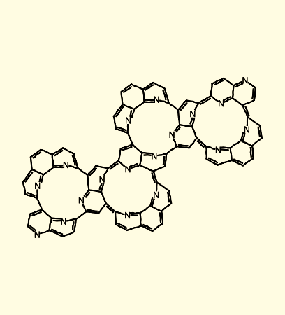 c1cc2c3ccc4ccc5ccc(nc5c4n3)c3cc4nc5c(cc(nc35)c3ccc(n1)c2n3)c1ccc2ccc3ccc(nc3c2n1)c1cc2nc3c(cc4nc13)c1ccc3ccc4ccc(nc4c3n1)c1cc3nc4c(cc2nc14)c1ccc2ccc4ccc(nc4c2n1)c1ccnc2ccc3nc21